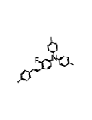 Cc1ccc(/C=C/c2ccc(N(c3ccc(C)cc3)c3ccc(C)cc3)cc2F)cc1